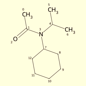 CC(=O)N(C(C)C)C1CCCCC1